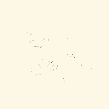 CC(C)C(=O)O[C@H]1[C@H](c2ccc3c(N)ccnn23)O[C@](C#N)(COP(=O)(N[C@@H](C)C(=O)OCc2ccccc2)Oc2ccccc2)[C@H]1OC(=O)C(C)C